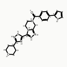 O=C(c1ccc(-c2cccs2)cc1)N1CCn2c(nnc2-c2nc(C3CCOCC3)ns2)C1